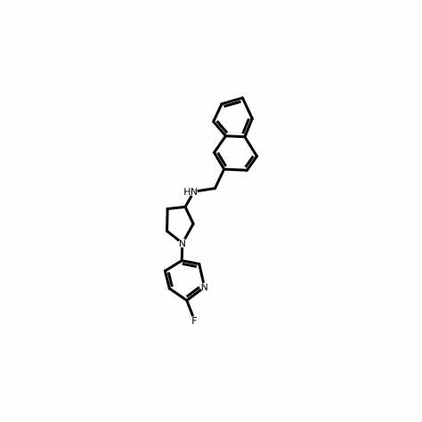 Fc1ccc(N2CCC(NCc3ccc4ccccc4c3)C2)cn1